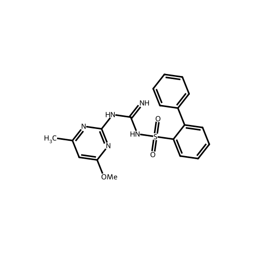 COc1cc(C)nc(NC(=N)NS(=O)(=O)c2ccccc2-c2ccccc2)n1